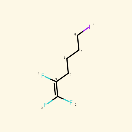 FC(F)=C(F)CCCCI